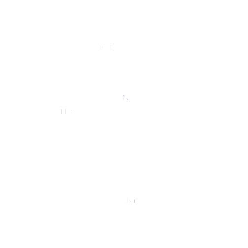 CC1CC(C)CN(Cc2ccc(CC(C)(C)C)c(F)c2)C1